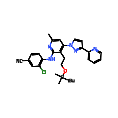 Cc1cc(-n2ccc(-c3ccccn3)n2)c(CCO[Si](C)(C)C(C)(C)C)c(Nc2ccc(C#N)cc2Cl)n1